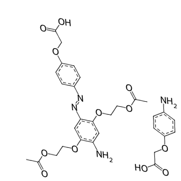 CC(=O)OCCOc1cc(N=Nc2ccc(OCC(=O)O)cc2)c(OCCOC(C)=O)cc1N.Nc1ccc(OCC(=O)O)cc1